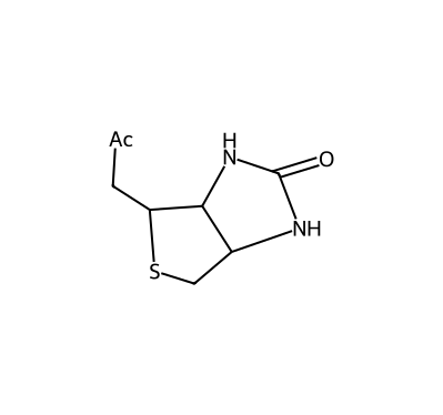 CC(=O)CC1SCC2NC(=O)NC21